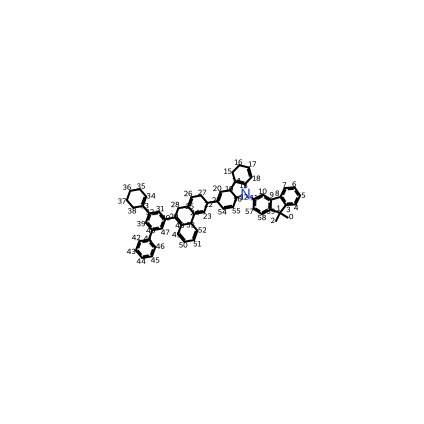 CC1(C)c2ccccc2-c2cc(N3C4=C(CCC=C4)C4C=C(C5C=C6C(=CC5)CC(c5cc(C7=CCCCC7)cc(-c7ccccc7)c5)=C5C=CC=CC65)C=CC43)ccc21